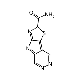 NC(=O)C1N=C2N=c3cnncc3=C2S1